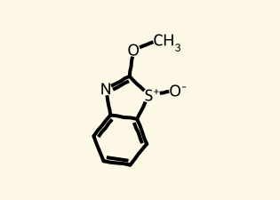 COc1nc2ccccc2[s+]1[O-]